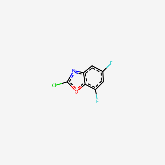 Fc1cc(F)c2oc(Cl)nc2c1